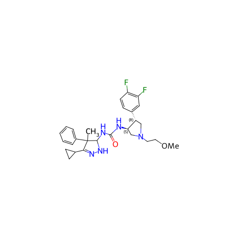 COCCN1C[C@@H](NC(=O)NC2NN=C(C3CC3)C2(C)c2ccccc2)[C@H](c2ccc(F)c(F)c2)C1